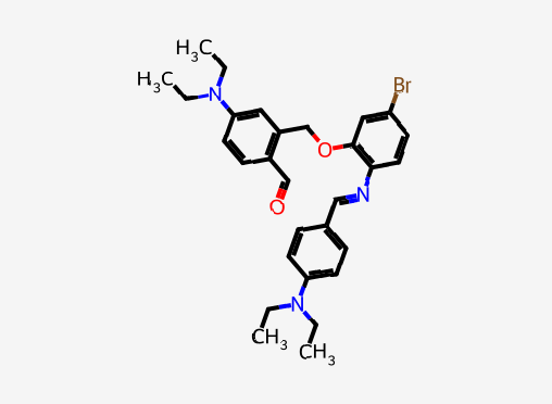 CCN(CC)c1ccc(C=Nc2ccc(Br)cc2OCc2cc(N(CC)CC)ccc2C=O)cc1